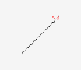 CCCCCC=CCCCCCCCCC=CC=CC(=O)OC